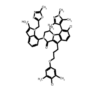 Cc1nnc(Cn2c(C(=O)O)cc3cccc(N4C[C@@H](C)n5c(c(CCCOc6cc(C)c(Cl)c(C)c6)c6ccc(Cl)c(-c7c(C)nn(C)c7C)c65)C4=O)c32)o1